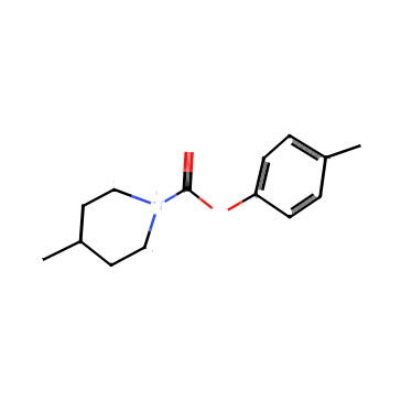 Cc1ccc(OC(=O)N2CCC(C)CC2)cc1